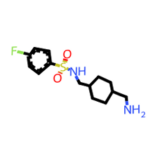 NCC1CCC(CNS(=O)(=O)c2ccc(F)cc2)CC1